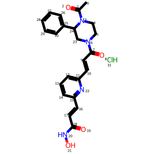 CC(=O)N1CCN(C(=O)C=Cc2cccc(C=CC(=O)NO)n2)CC1c1ccccc1.Cl